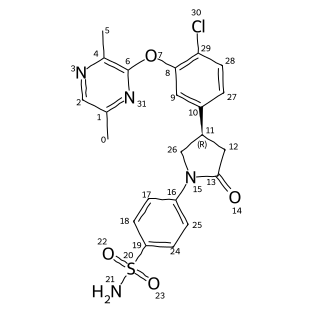 Cc1cnc(C)c(Oc2cc([C@H]3CC(=O)N(c4ccc(S(N)(=O)=O)cc4)C3)ccc2Cl)n1